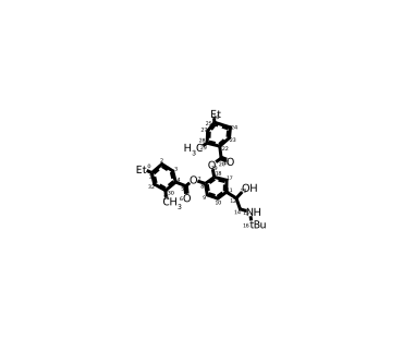 CCc1ccc(C(=O)Oc2ccc(C(O)CNC(C)(C)C)cc2OC(=O)c2ccc(CC)cc2C)c(C)c1